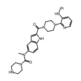 CC(C)Nc1cccnc1N1CCN(C(=O)c2cc3cc(N(C)C(=O)N4CCNCC4)ccc3[nH]2)CC1